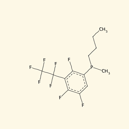 CCCCP(C)c1cc(F)c(F)c(C(F)(F)C(F)(F)F)c1F